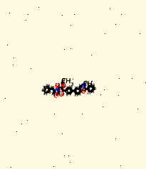 CCOC(Cc1ccc(-c2cccc(CN(C)C(=O)c3ccccc3)c2)cc1)C(=O)N1C(=O)OCC1Cc1ccccc1